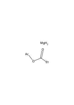 CCC(=O)OC(C)=O.[MgH2]